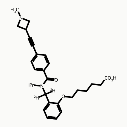 [2H]C([2H])(c1ccccc1OCCCCCC(=O)O)N(C(=O)c1ccc(C#CC2CN(C)C2)cc1)C(C)C